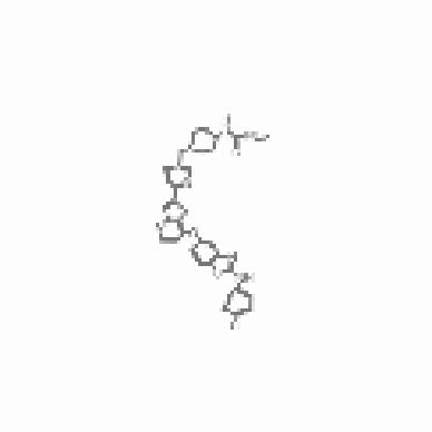 CCNC(=O)NC1CCN(Cc2ccc(-c3cc4nccc(Oc5ccc6oc(Nc7ccc(Cl)cc7)nc6c5)c4s3)nc2)CC1